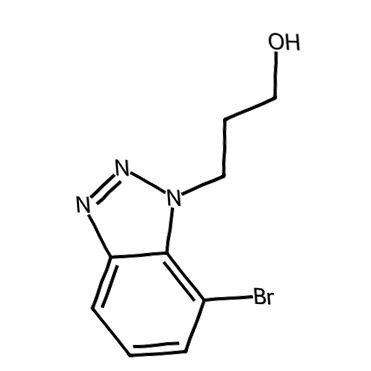 OCCCn1nnc2cccc(Br)c21